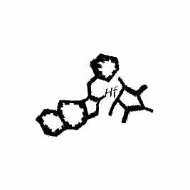 CC1=C(C)[C](C)([Hf][C]2=C(Cc3ccccc3)c3cc4ccccc4cc3C2)C(C)=C1C